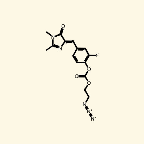 CC1=N/C(=C\c2ccc(OC(=O)OCCN=[N+]=[N-])c(F)c2)C(=O)N1C